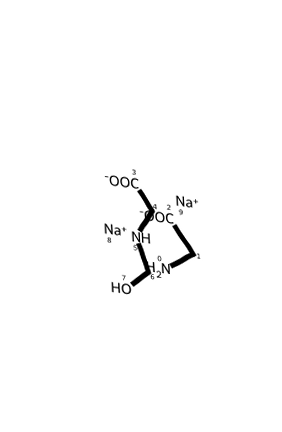 NCC(=O)[O-].O=C([O-])CNCO.[Na+].[Na+]